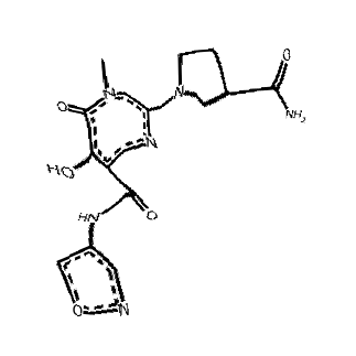 Cn1c(N2CCC(C(N)=O)C2)nc(C(=O)Nc2cnoc2)c(O)c1=O